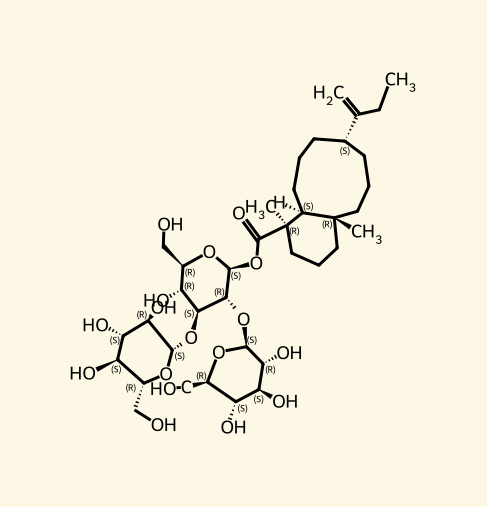 C=C(CC)[C@H]1CCC[C@H]2[C@](C)(CCC1)CCC[C@@]2(C)C(=O)O[C@@H]1O[C@H](CO)[C@@H](O)[C@H](O[C@@H]2O[C@H](CO)[C@@H](O)[C@H](O)[C@H]2O)[C@H]1O[C@@H]1O[C@H](CO)[C@@H](O)[C@H](O)[C@H]1O